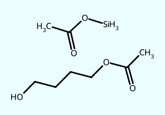 CC(=O)OCCCCO.CC(=O)O[SiH3]